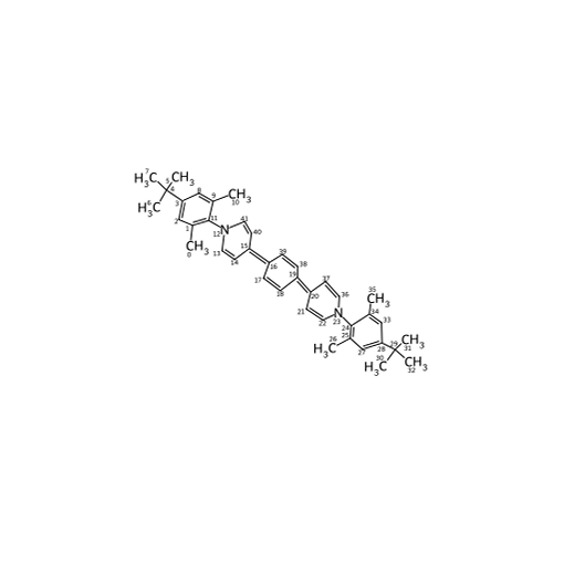 Cc1cc(C(C)(C)C)cc(C)c1N1C=CC(=c2ccc(=C3C=CN(c4c(C)cc(C(C)(C)C)cc4C)C=C3)cc2)C=C1